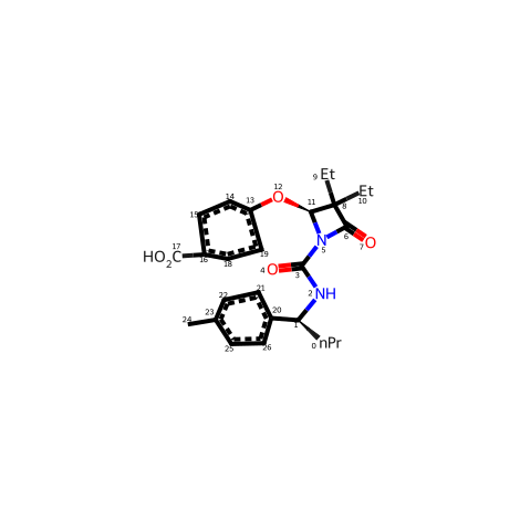 CCC[C@H](NC(=O)N1C(=O)C(CC)(CC)[C@@H]1Oc1ccc(C(=O)O)cc1)c1ccc(C)cc1